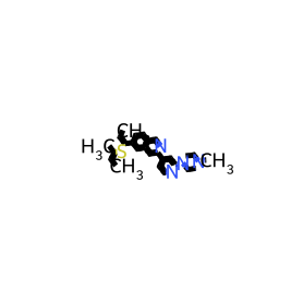 C/C=C(/C)S/C(=C/C)c1ccc2cnc(-c3ccnc(N4CCN(C)CC4)c3)cc2c1